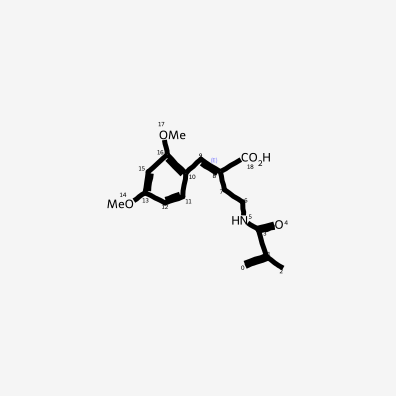 C=C(C)C(=O)NCC/C(=C\c1ccc(OC)cc1OC)C(=O)O